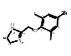 Cc1cc(Br)cc(C)c1OCC1=NCCN1